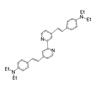 CCN(CC)c1ccc(C=Cc2ccnc(-c3cc(C=Cc4ccc(N(CC)CC)cc4)ccn3)c2)cc1